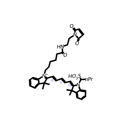 CCCC(N1/C(=C/C=C/C=C/C2=[N+](CCCCCC(=O)NCCN3C(=O)C=CC3=O)c3ccccc3C2(C)C)C(C)(C)c2ccccc21)S(=O)(=O)O